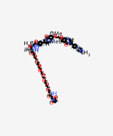 COc1cc2c(cc1OCCCOc1cc3c(cc1OC)C(=O)N1C=C(c4ccc(N5CCN(C)CC5)cc4)C[C@H]1C=N3)N=C[C@@H]1CC(c3ccc(NC(=O)[C@H](C)NC(=O)C(NC(=O)CCOCCOCCOCCOCCOCCOCCOCCOCCNC(=O)CCN4C(=O)C=CC4=O)C(C)C)cc3)=CN1C2=O